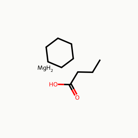 C1CCCCC1.CCCC(=O)O.[MgH2]